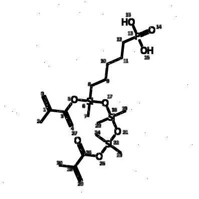 C=C(C)C(=C)O[Si](C)(CCCCCP(=O)(O)O)O[Si](C)(C)O[Si](C)(C)OC(=O)C(=C)C